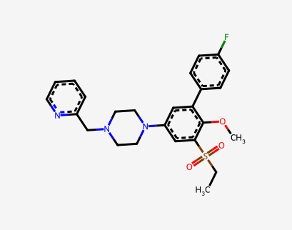 CCS(=O)(=O)c1cc(N2CCN(Cc3ccccn3)CC2)cc(-c2ccc(F)cc2)c1OC